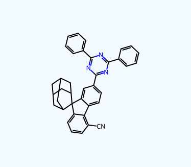 N#Cc1cccc2c1-c1ccc(-c3nc(-c4ccccc4)nc(-c4ccccc4)n3)cc1C21C2CC3CC(C2)CC1C3